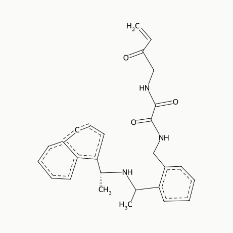 C=CC(=O)CNC(=O)C(=O)NCc1ccccc1C(C)N[C@H](C)c1cccc2ccccc12